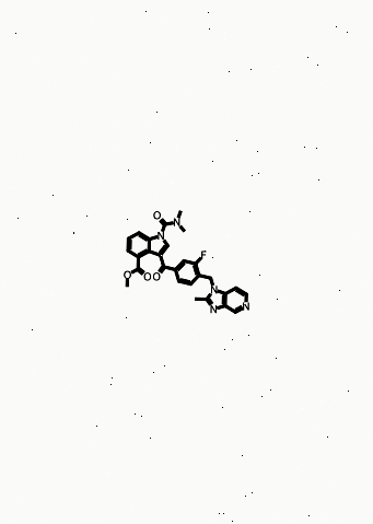 COC(=O)c1cccc2c1c(C(=O)c1ccc(Cn3c(C)nc4cnccc43)c(F)c1)cn2C(=O)N(C)C